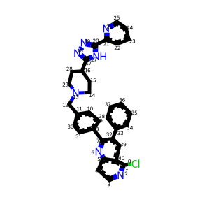 Clc1nccc2nc(-c3ccc(CN4CCC(c5nnc(-c6ccccn6)[nH]5)CC4)cc3)c(-c3ccccc3)cc12